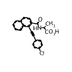 CC(NC(=O)c1ccc2ccccc2c1C#Cc1ccc(Cl)cc1)C(=O)O